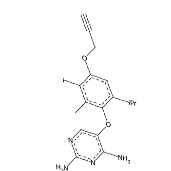 C#CCOc1cc(C(C)C)c(Oc2cnc(N)nc2N)c(C)c1I